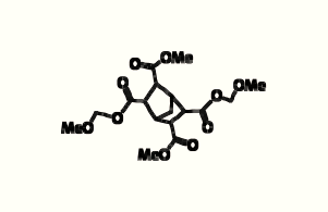 COCOC(=O)C1C2CC(C1C(=O)OC)C(C(=O)OCOC)C2C(=O)OC